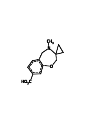 CN1Cc2ccc(C(=O)O)cc2OCC12CC2